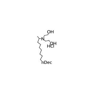 CCCCCCCCCCCCCCCCCC(C)N(CCO)CCO.Cl